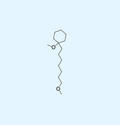 COCCCCCCCC1(OC)CCCCC1